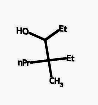 CCCC(C)(CC)C(O)CC